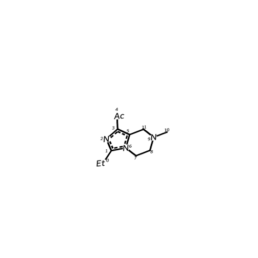 CCc1nc(C(C)=O)c2n1CCN(C)C2